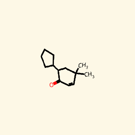 CC1(C)C=CC(=O)C(C2CCCC2)C1